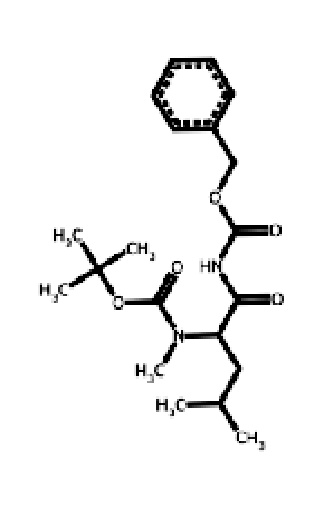 CC(C)CC(C(=O)NC(=O)OCc1ccccc1)N(C)C(=O)OC(C)(C)C